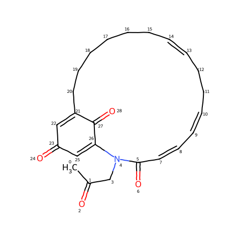 CC(=O)CN1C(=O)C=CC=CC[CH]C=CCCCCCCC2=CC(=O)C=C1C2=O